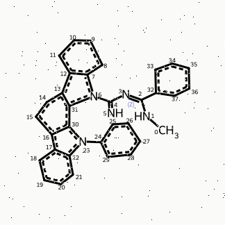 CN/C(=N\C(=N)n1c2ccccc2c2ccc3c4ccccc4n(-c4ccccc4)c3c21)c1ccccc1